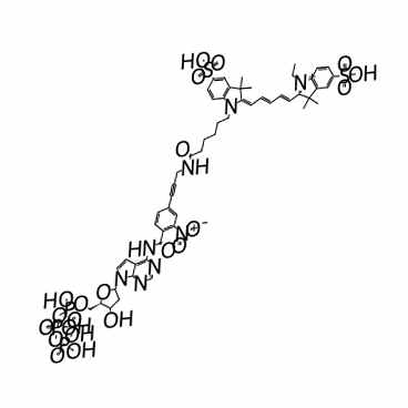 CC[N+]1=C(/C=C/C=C/C=C2/N(CCCCCC(=O)NCC#Cc3ccc(C(=O)Nc4ncnc5c4ccn5[C@H]4CC(O)[C@@H](COP(=O)(O)OP(=O)(O)OP(=O)(O)O)O4)c([N+](=O)[O-])c3)c3ccc(S(=O)(=O)O)cc3C2(C)C)C(C)(C)c2cc(S(=O)(=O)O)ccc21